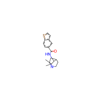 CC1(C)C(NC(=O)c2ccc3sccc3c2)C2CCN1CC2